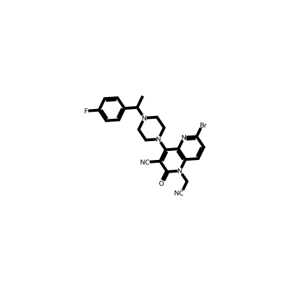 CC(c1ccc(F)cc1)N1CCN(c2c(C#N)c(=O)n(CC#N)c3ccc(Br)nc23)CC1